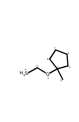 CC1(OC[SiH3])CCCC1